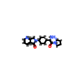 N[C@H](C(=O)N1CCCC1)[C@H]1CC[C@H](N2Cc3ncccc3C2=O)CC1